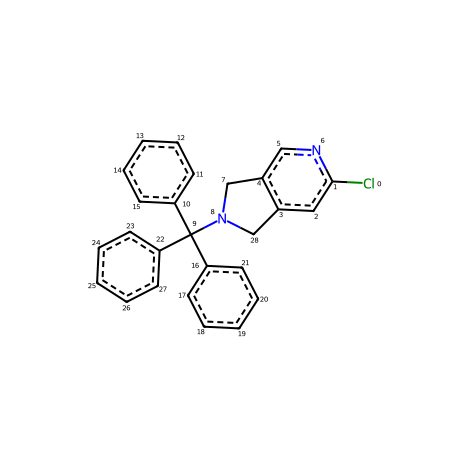 Clc1cc2c(cn1)CN(C(c1ccccc1)(c1ccccc1)c1ccccc1)C2